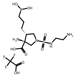 NCCNS(=O)(=O)N1C[C@@H](CCCB(O)O)[C@@](N)(C(=O)O)C1.O=C(O)C(F)(F)F